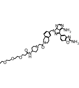 CCOCCOCCOCCC(=O)NC1CCN(CC(=O)N2CCc3cc(Cn4nc(-c5ccc6oc(N)nc6c5)c5c(N)ncnc54)ccc3C2)CC1